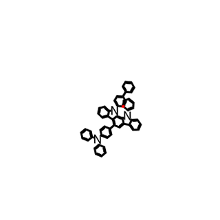 c1ccc(-c2ccc(-n3c4ccccc4c4c(-c5ccc(N(c6ccccc6)c6ccccc6)cc5)cc5c6ccccc6n(-c6ccccc6)c5c43)cc2)cc1